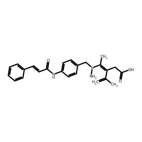 C=C(C)/C(CC(=O)O)=C(/C)N(N)Cc1ccc(NC(=O)/C=C/c2ccccc2)cc1